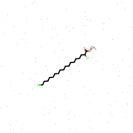 COC(=O)C(Cl)CCCCCCCCCCCCCCCCCl